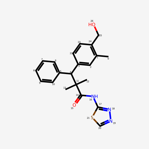 Cc1cc(C(c2ccccc2)C(C)(C)C(=O)Nc2nncs2)ccc1CO